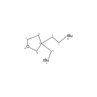 CC(C)(C)CCC1(CC(C)(C)C)CCOC1